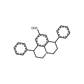 O=Cc1cc2c3c(c1)C(c1ccccc1)CCN3CCC2c1ccccc1